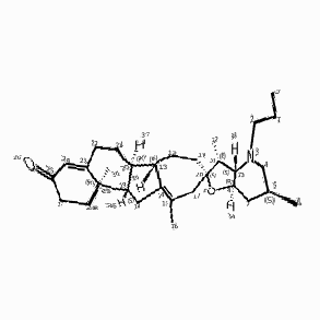 CCCN1C[C@@H](C)C[C@H]2O[C@]3(CC[C@@H]4C(=C(C)C3)C[C@H]3[C@H]4CCC4=CC(=O)CC[C@@]43C)[C@H](C)[C@@H]21